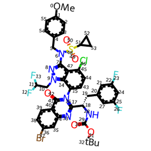 COc1ccc(CN(c2nn(CC(F)F)c3c(-n4c([C@H](Cc5cc(F)cc(F)c5)NC(=O)OC(C)(C)C)nc5cc(Br)ccc5c4=O)ccc(Cl)c23)S(=O)(=O)C2CC2)cc1